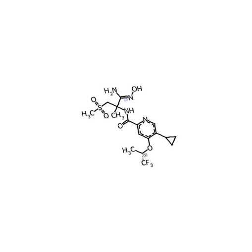 C[C@H](Oc1cc(C(=O)NC(C)(CS(C)(=O)=O)/C(N)=N/O)ncc1C1CC1)C(F)(F)F